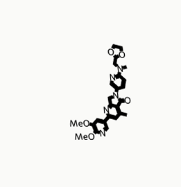 COc1cc(-c2cc(C)c3c(n2)CN(c2ccc(N(C)CC4OCCO4)nc2)C3=O)cnc1OC